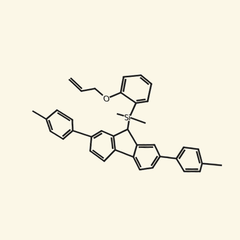 C=CCOc1ccccc1[Si](C)(C)C1c2cc(-c3ccc(C)cc3)ccc2-c2ccc(-c3ccc(C)cc3)cc21